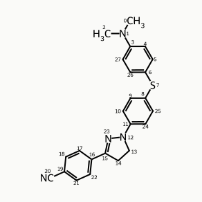 CN(C)c1ccc(Sc2ccc(N3CCC(c4ccc(C#N)cc4)=N3)cc2)cc1